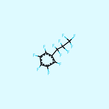 Fc1c(F)c(F)c(C(F)(F)C(F)(F)C(F)(F)F)c(F)c1F